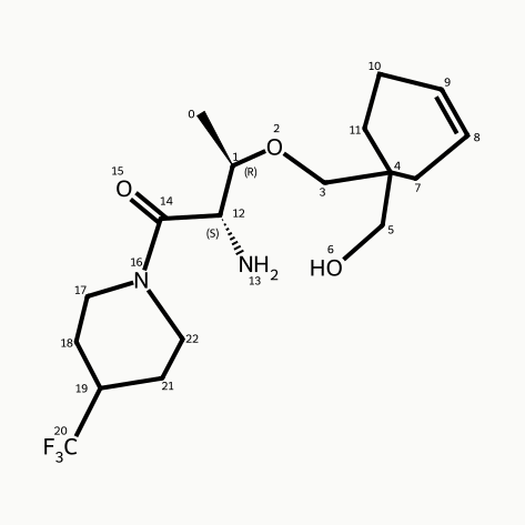 C[C@@H](OCC1(CO)CC=CCC1)[C@H](N)C(=O)N1CCC(C(F)(F)F)CC1